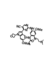 C=CC(=O)Nc1cc(Nc2ncc(C#N)c(-c3cn(C4COC4)c4cc(OC)ccc34)n2)c(OC)cc1N(C)CCN(C)C